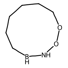 B1CCCCCCOON1